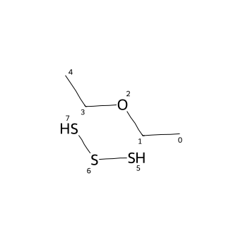 CCOCC.SSS